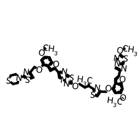 COc1cc(OCc2csc(C(C)CCOc3nn4cc(-c5cc6c(OCc7csc(N8CCSCC8)n7)cc(OC)cc6o5)nc4s3)n2)c2cc(-c3cn4nc(OC)sc4n3)oc2c1